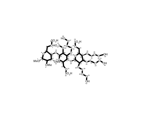 COC1[C@H](OC)OC(COS(=O)(=O)O)[C@@H](O[C@@H]2OC(COS(=O)(=O)O)[C@@H](O[C@H]3OC(COS(=O)(=O)O)[C@@H](OSOOO)C(OSOOO)C3OSOOO)C(OSOOO)C2OS(=O)(=O)O)[C@@H]1OC